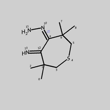 CC1(C)CSCC(C)(C)/C(=N/N)C1=N